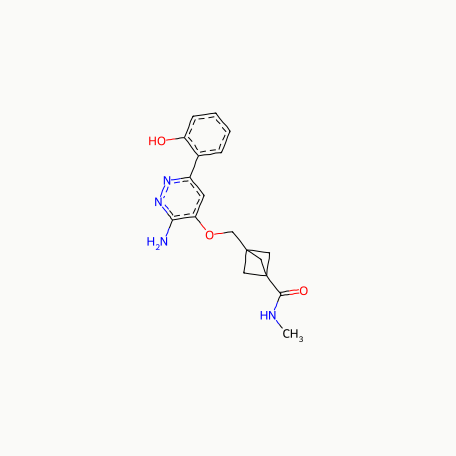 CNC(=O)C12CC(COc3cc(-c4ccccc4O)nnc3N)(C1)C2